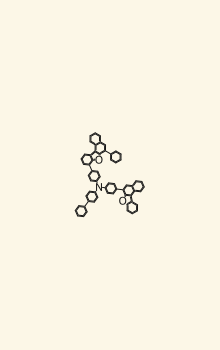 c1ccc(-c2ccc(N(c3ccc(-c4cccc5c4oc4c(-c6ccccc6)cc6ccccc6c45)cc3)c3ccc(-c4cc5ccccc5c5c4oc4ccccc45)cc3)cc2)cc1